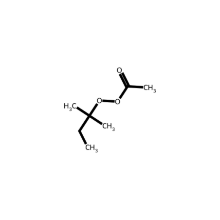 CCC(C)(C)OOC(C)=O